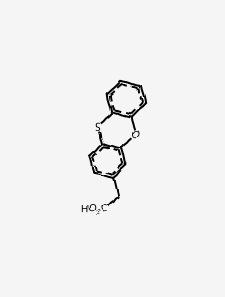 O=C(O)Cc1ccc2c(c1)Oc1ccccc1S2